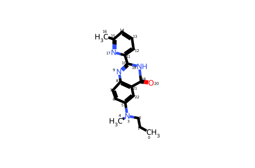 CCCN(C)c1ccc2nc(-c3cccc(C)n3)[nH]c(=O)c2c1